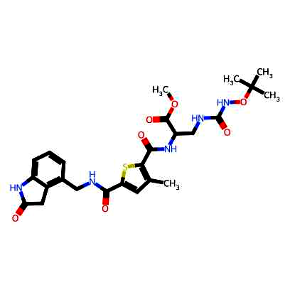 COC(=O)C(CNC(=O)NOC(C)(C)C)NC(=O)c1sc(C(=O)NCc2cccc3c2CC(=O)N3)cc1C